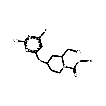 CC(C)(C)OC(=O)N1CCC(Oc2cc(F)nc(C#N)n2)CC1CC#N